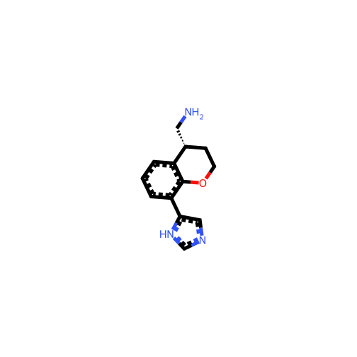 NC[C@@H]1CCOc2c(-c3cnc[nH]3)cccc21